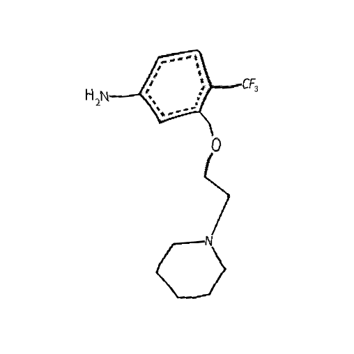 Nc1ccc(C(F)(F)F)c(OCCN2CCCCC2)c1